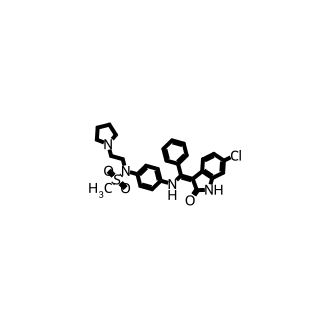 CS(=O)(=O)N(CCN1CCCC1)c1ccc(N/C(=C2\C(=O)Nc3cc(Cl)ccc32)c2ccccc2)cc1